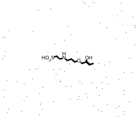 CC=C(O)COCCCNCCS(=O)(=O)O